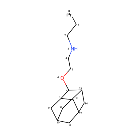 CC(C)CCNCCOC1C2CC3CC(C2)CC1C3